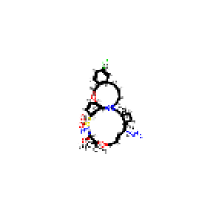 CC1(C)OC/C=C/[C@H](N)[C@@H]2CC[C@H]2CN2CCCCc3cc(Cl)ccc3COc3ccc(cc32)S(=O)(=O)NC1=O